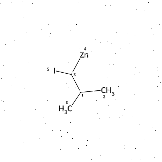 CC(C)[CH]([Zn])I